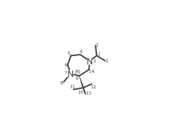 CC(C)N1CCCN(C)[C@H](C(C)(C)C)C1